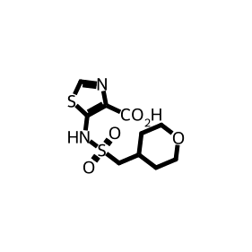 O=C(O)c1ncsc1NS(=O)(=O)CC1CCOCC1